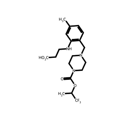 Cc1ccc(CN2CCN(C(=O)OC(C)C(F)(F)F)CC2)c(NCCC(=O)O)c1